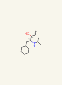 C=C[C@H](O)[C@H](CC1CCCCC1)NC(C)C